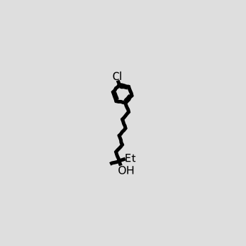 CCC(C)(O)CCCCCCc1ccc(Cl)cc1